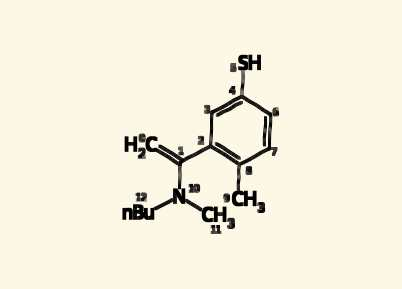 C=C(c1cc(S)ccc1C)N(C)CCCC